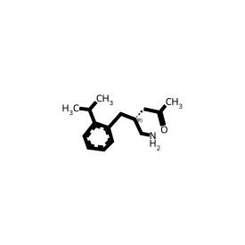 CC(=O)C[C@H](CN)Cc1ccccc1C(C)C